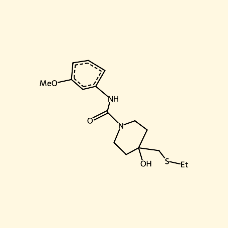 CCSCC1(O)CCN(C(=O)Nc2cccc(OC)c2)CC1